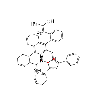 CC/C(=C(/O)C(C)C)c1ccccc1-c1c2c(c(C3CCC=CC3C(N)NC3N=C(c4ccccc4)C=C3C3=CC=CCC3)c3c1CCC=C3)CCC=C2